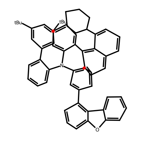 CC(C)(C)c1cc(-c2ccccc2N(c2cccc(-c3cccc4oc5ccccc5c34)c2)c2ccccc2-c2cccc3cccc(C4CCCCC4)c23)cc(C(C)(C)C)c1